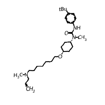 C=CCN(C)CCCCCCCO[C@H]1CC[C@H](N(C)C(=O)Nc2ccc(C(C)(C)C)cc2)CC1